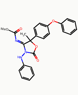 COC(=O)N=C1N(Nc2ccccc2)C(=O)OC1(C)c1ccc(Oc2ccccc2)cc1